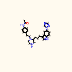 CC(=O)Nc1ccc(CCN2CCNCC2CCCc2c[nH]c3ccc(-n4cncn4)cc23)cc1